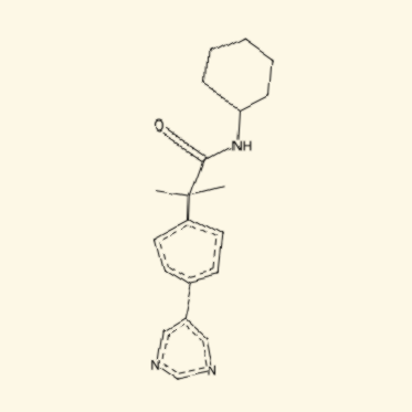 CC(C)(C(=O)NC1CCCCC1)c1ccc(-c2cncnc2)cc1